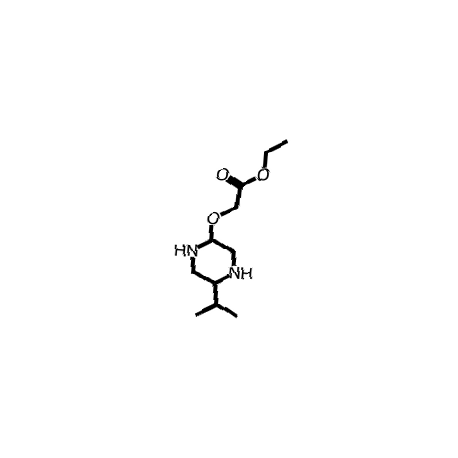 CCOC(=O)COC1CNC(C(C)C)CN1